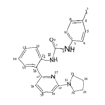 O=C(Nc1ccc(I)cc1)Nc1ccccc1-c1cccc(N2CCCC2)n1